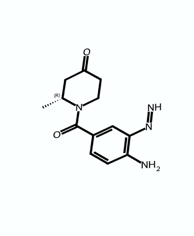 C[C@@H]1CC(=O)CCN1C(=O)c1ccc(N)c(N=N)c1